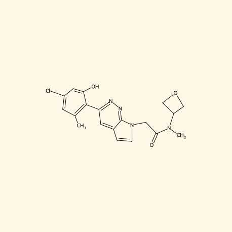 Cc1cc(Cl)cc(O)c1-c1cc2ccn(CC(=O)N(C)C3COC3)c2nn1